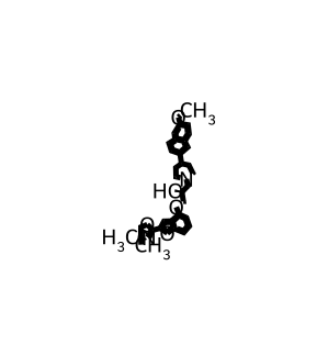 COc1ccc2cc(C3CCN(C[C@H](O)COc4cccc5oc(C6=NC(C)(C)CO6)cc45)CC3)ccc2c1